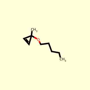 CCCCCOC1(C)C=C1